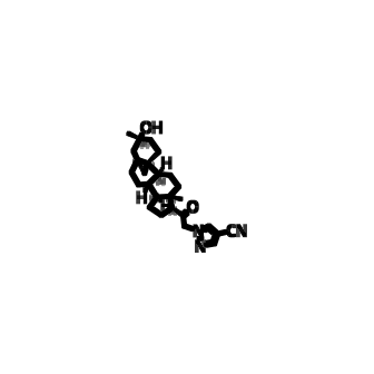 C[C@@]1(O)CC[C@@]23C[C@@]2(CC[C@H]2[C@@H]4CC[C@H](C(=O)Cn5cc(C#N)cn5)[C@@]4(C)CC[C@@H]23)C1